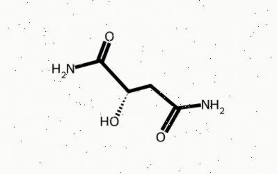 NC(=O)C[C@H](O)C(N)=O